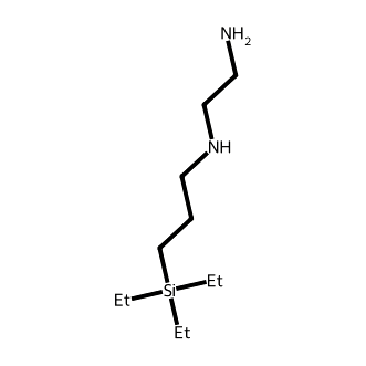 CC[Si](CC)(CC)CCCNCCN